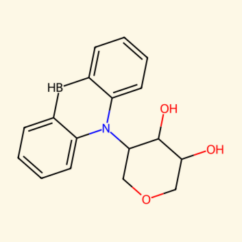 OC1COCC(N2c3ccccc3Bc3ccccc32)C1O